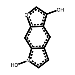 Oc1coc2cc3c(ccn3O)cc12